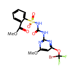 COC(=O)c1ccccc1S(=O)(=O)NC(=O)Nc1nc(OC)cc(OC(F)(F)Br)n1